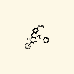 CCOc1ccc(CC(NC(=O)C23CCC(CC2)CC3)C(=O)NC(C)Cc2ccccc2)cc1